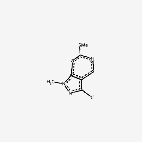 CSc1ncc2c(Cl)nn(C)c2n1